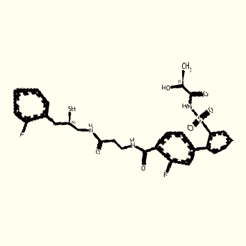 C[C@H](O)C(=O)NS(=O)(=O)c1ccccc1-c1ccc(C(=O)NCCC(=O)NC[C@H](S)Cc2ccccc2F)c(F)c1